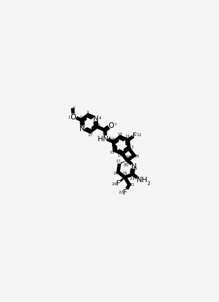 COc1cnc(C(=O)Nc2cc(F)c3c(c2)[C@@]2(CC[C@@](F)(CF)C(N)=N2)C3)cn1